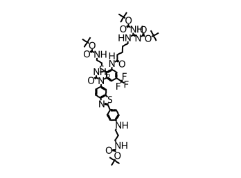 CC(C)(C)OC(=O)N=C(NCCCCC(=O)Nc1cc(C(F)(F)F)cc(N(C(N)=O)c2ccc3nc(-c4ccc(NCCCNC(=O)OC(C)(C)C)cc4)sc3c2)c1SCCNC(=O)OC(C)(C)C)NC(=O)OC(C)(C)C